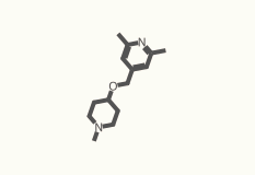 Cc1cc(COC2CCN(C)CC2)cc(C)n1